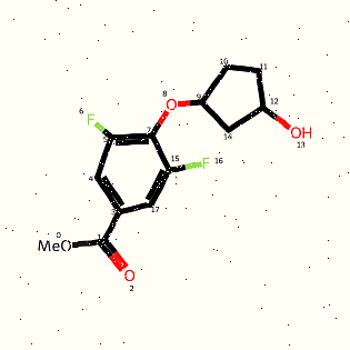 COC(=O)c1cc(F)c(OC2CCC(O)C2)c(F)c1